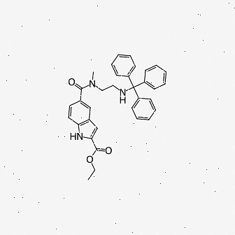 CCOC(=O)c1cc2cc(C(=O)N(C)CCNC(c3ccccc3)(c3ccccc3)c3ccccc3)ccc2[nH]1